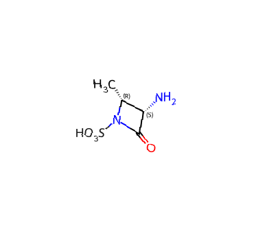 C[C@@H]1[C@H](N)C(=O)N1S(=O)(=O)O